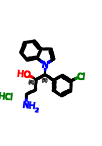 Cl.NCC[C@@H](O)[C@H](c1cccc(Cl)c1)n1ccc2ccccc21